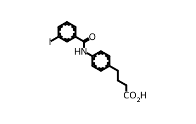 O=C(O)CCCc1ccc(NC(=O)c2cccc(I)c2)cc1